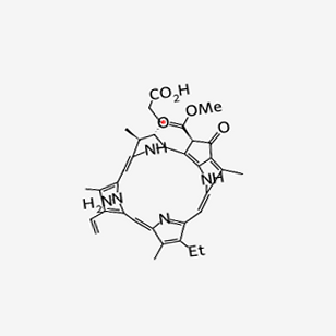 C=Cc1c(C)c2n(N)c1/C=C1N=C(/C=c3\[nH]c4c(c3C)C(=O)[C@H](C(=O)OC)C=4C3N/C(=C\2)[C@@H](C)[C@@H]3CCC(=O)O)C(CC)=C\1C